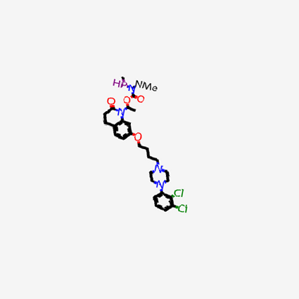 CNN(PC)C(=O)OC(C)N1C(=O)CCc2ccc(OCCCCN3CCN(c4cccc(Cl)c4Cl)CC3)cc21